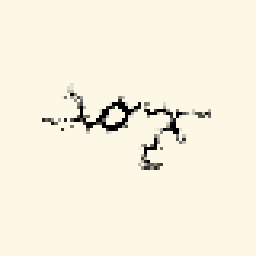 CCCCCCCN(CCOc1ccc(CC(OCC)C(=O)O)cc1)C(=O)OCCOC